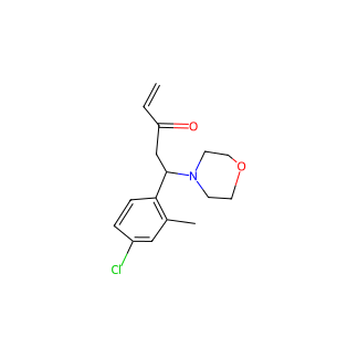 C=CC(=O)CC(c1ccc(Cl)cc1C)N1CCOCC1